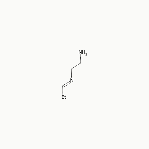 [CH2]CC=NCCN